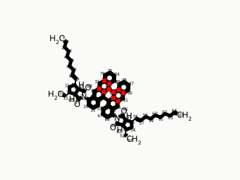 C=CCCCCCC/C=C/[C@@H]1C[C@H](C=C)[C@@H]2C(=O)N(c3cccc4c(-c5c(P(c6ccccc6)c6ccccc6)ccc6c(N7C(=O)[C@@H]8[C@H](C7=O)[C@H](C=C)C[C@@H]8/C=C/CCCCCCC=C)cccc56)c(P(c5ccccc5)c5ccccc5)ccc34)C(=O)[C@@H]21